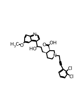 COc1ccc2nccc(C(O)CC[C@@H]3CCN(CC#Cc4cccc(Cl)c4Cl)C[C@@H]3C(=O)O)c2c1